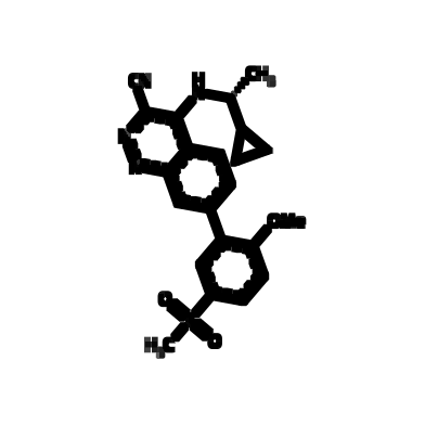 COc1ccc(S(C)(=O)=O)cc1-c1ccc2c(N[C@H](C)C3CC3)c(C#N)nnc2c1